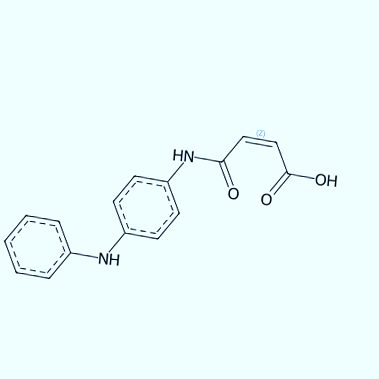 O=C(O)/C=C\C(=O)Nc1ccc(Nc2ccccc2)cc1